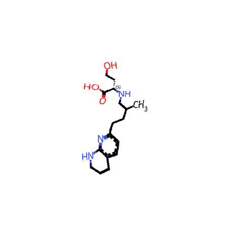 CC(CCc1ccc2c(n1)NCCC2)CN[C@@H](CCO)C(=O)O